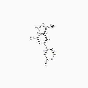 C=N/C=C(\C=C/C)c1cc(Cl)n2ncc(C(C)C)c2n1